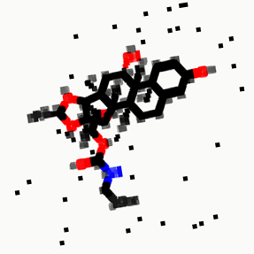 CCCCCCCCCCCNC(=O)OCC(=O)[C@@]12O[C@H](CCC)O[C@@H]1C[C@H]1[C@@H]3CCC4=CC(=O)C=C[C@]4(C)[C@H]3[C@@H](O)C[C@@]12C